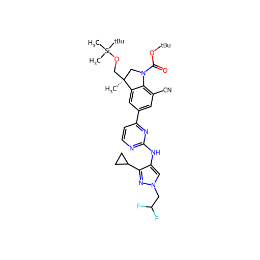 CC(C)(C)OC(=O)N1C[C@](C)(CO[Si](C)(C)C(C)(C)C)c2cc(-c3ccnc(Nc4cn(CC(F)F)nc4C4CC4)n3)cc(C#N)c21